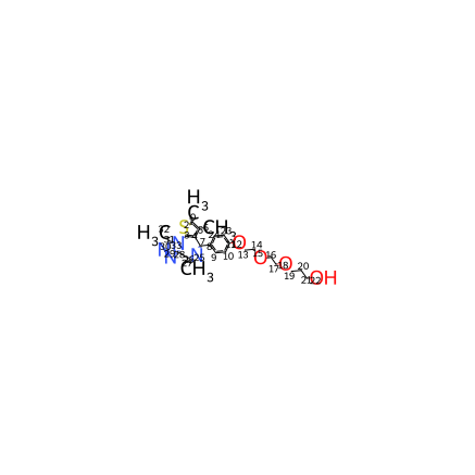 Cc1sc2c(c1C)C(c1ccc(OCCOCCOCCCO)cc1)=N[C@@H](C)c1nnc(C)n1-2